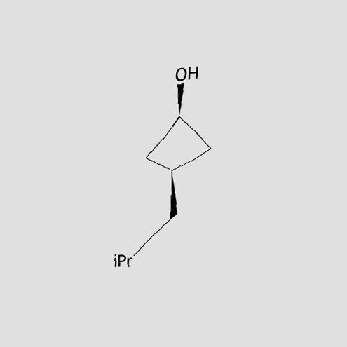 CC(C)C[C@H]1C[C@@H](O)C1